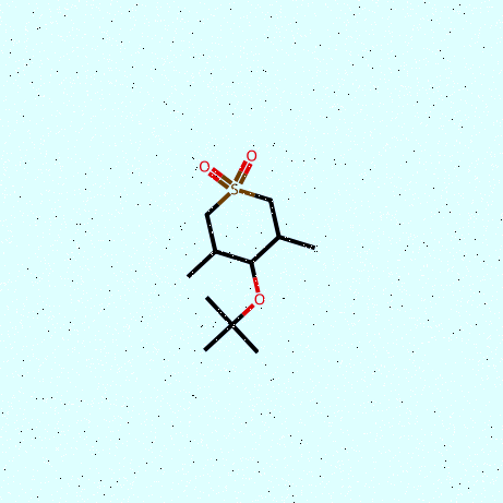 CC1CS(=O)(=O)CC(C)C1OC(C)(C)C